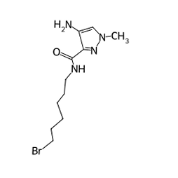 Cn1cc(N)c(C(=O)NCCCCCCBr)n1